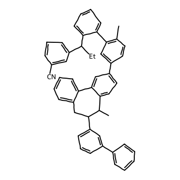 CCC(c1cccc(C#N)c1)c1ccccc1-c1cc(-c2ccc3c(c2)-c2ccccc2CC(c2cccc(-c4ccccc4)c2)C3C)ccc1C